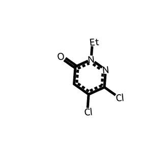 CCn1nc(Cl)c(Cl)cc1=O